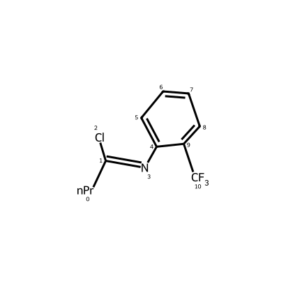 CCCC(Cl)=Nc1ccccc1C(F)(F)F